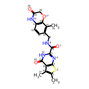 Cc1sc2nc(C(=O)NCc3ccc4c(c3C)OCC(=O)N4)[nH]c(=O)c2c1C